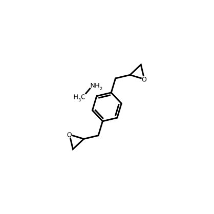 CN.c1cc(CC2CO2)ccc1CC1CO1